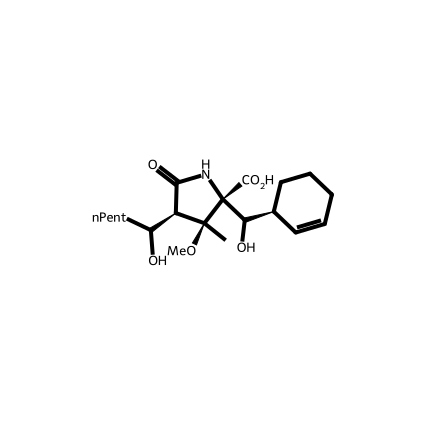 CCCCCC(O)[C@H]1C(=O)N[C@](C(=O)O)(C(O)[C@@H]2C=CCCC2)[C@@]1(C)OC